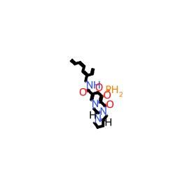 C=C/C=C\C=C(/C=C)CNC(=O)c1cn2c(c(OP)c1=O)C(=O)N1C[C@H]3CCCN3[C@@H]1C2